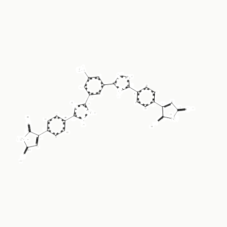 CC(C)(C)c1cc(-c2nnc(-c3ccc(C4=CC(=O)NC4=O)cc3)o2)cc(-c2nnc(-c3ccc(C4=CC(=O)NC4=O)cc3)o2)c1